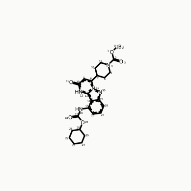 CC(C)(C)OC(=O)N1CCC(c2cc(=O)[nH]c3c4c(NC(=O)OC5CCCCC5)cccc4nn23)CC1